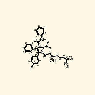 CC(C)c1c(C(=O)Nc2ccccc2)c(-c2ccccc2)c(-c2ccc(F)cc2)n1CC[C@@H](O)CCCC(=O)OI